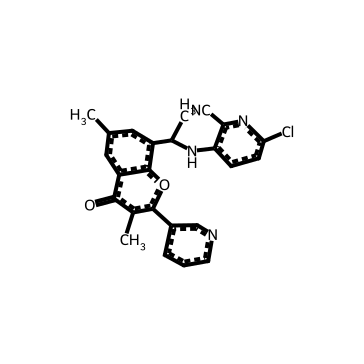 Cc1cc(C(C)Nc2ccc(Cl)nc2C#N)c2oc(-c3cccnc3)c(C)c(=O)c2c1